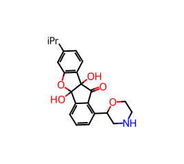 CC(C)c1ccc2c(c1)OC1(O)c3cccc(C4CNCCO4)c3C(=O)C21O